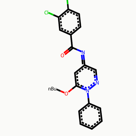 CCCCOc1c/c(=N\C(=O)c2ccc(Cl)c(Cl)c2)cnn1-c1ccccc1